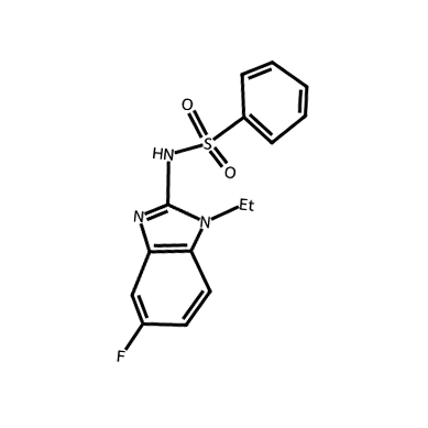 CCn1c(NS(=O)(=O)c2ccccc2)nc2cc(F)ccc21